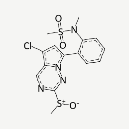 CN(c1ccccc1-c1cc(Cl)c2cnc([S+](C)[O-])nn12)S(C)(=O)=O